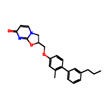 CCCc1cccc(-c2ccc(OCC3Cn4ccc(=O)nc4O3)cc2C)c1